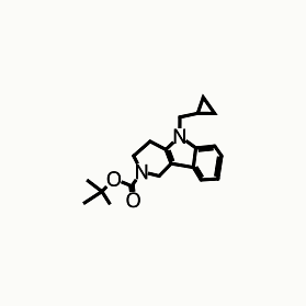 CC(C)(C)OC(=O)N1CCc2c(c3ccccc3n2CC2CC2)C1